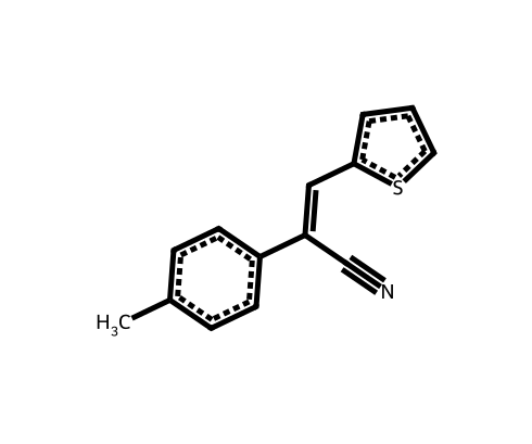 Cc1ccc(/C(C#N)=C/c2cccs2)cc1